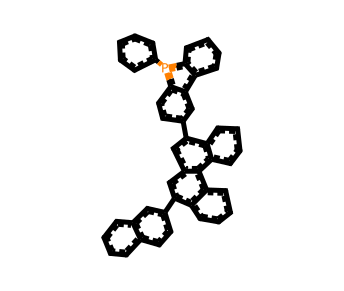 c1ccc(-p2c3ccccc3c3cc(-c4cc5cc(-c6ccc7ccccc7c6)c6ccccc6c5c5ccccc45)ccc32)cc1